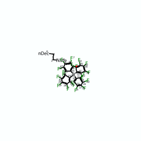 CCCCCCCCCCCC[NH2+]C.Fc1c(F)c(F)c([B-](c2c(F)c(F)c(F)c(F)c2F)(c2c(F)c(F)c(F)c(F)c2F)c2c(F)c(F)c(F)c(F)c2F)c(F)c1F